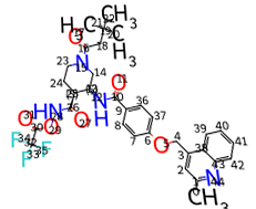 Cc1cc(COc2ccc(C(=O)N[C@@H]3CN(C(=O)CC(C)(C)C)CC[C@@H]3C(=O)NOC(=O)C(F)(F)F)cc2)c2ccccc2n1